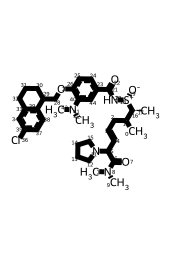 CC(C/C=C/C(C(=O)N(C)C)N1CCCC1)[C@@H](C)[S+]([O-])NC(=O)c1ccc(OCC2CCCc3cc(Cl)ccc32)c(N(C)C)c1